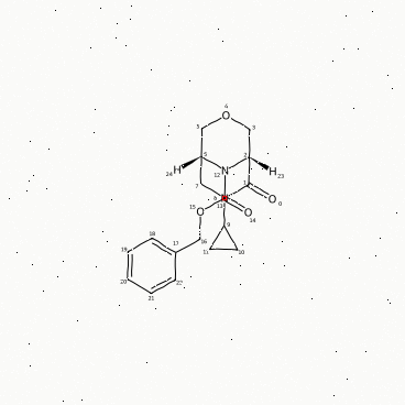 O=C1[C@H]2COC[C@@H](CN1C1CC1)N2C(=O)OCc1ccccc1